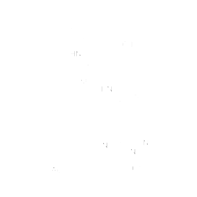 CC(=O)c1cccc(-c2cc(C(=O)NCc3c(C)cc(C)[nH]c3=O)c3cnn(C(C)C)c3n2)c1